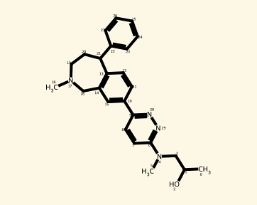 CC(O)CN(C)c1ccc(-c2ccc3c(c2)CN(C)CCC3c2ccccc2)nn1